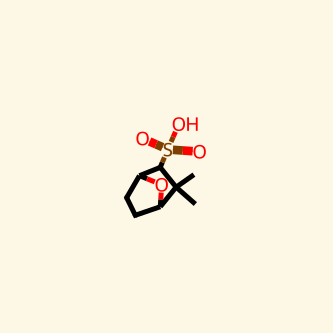 CC1(C)C2CCC(O2)C1S(=O)(=O)O